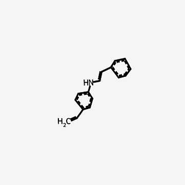 C=Cc1ccc(NC=Cc2ccccc2)cc1